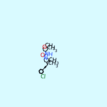 CC1(C)C[C@@H](NC(=O)N2CC/C(=C\C#Cc3cccc(Cl)c3)C(C)(C)C2)CCO1